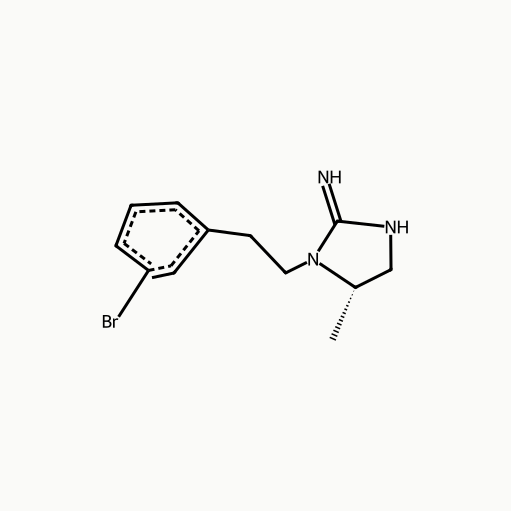 C[C@H]1CNC(=N)N1CCc1cccc(Br)c1